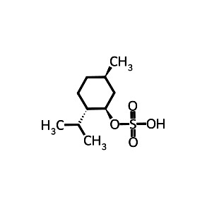 CC(C)[C@@H]1CC[C@@H](C)C[C@H]1OS(=O)(=O)O